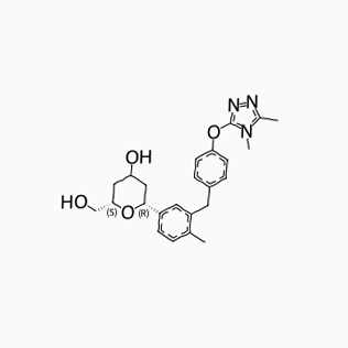 Cc1ccc([C@H]2CC(O)C[C@@H](CO)O2)cc1Cc1ccc(Oc2nnc(C)n2C)cc1